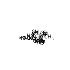 C=CC(=O)Nc1cc(Nc2cc(N3OCCC3c3cccc(-c4c(C)noc4C)c3)ncn2)c(OC)cc1N1CCC(N2CCN(C3CC3)CC2)CC1